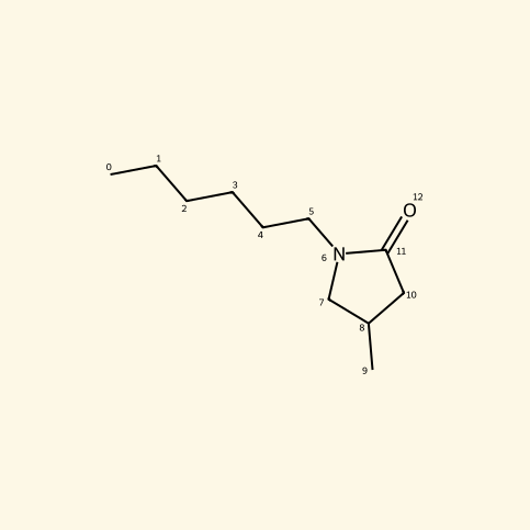 CCCCCCN1CC(C)CC1=O